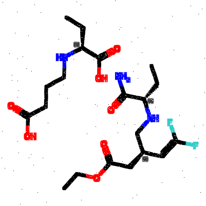 CCOC(=O)C[C@H](C=C(F)F)CN[C@@H](CC)C(N)=O.CC[C@H](NCCCC(=O)O)C(=O)O